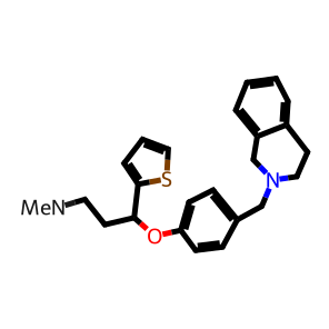 CNCCC(Oc1ccc(CN2CCc3ccccc3C2)cc1)c1cccs1